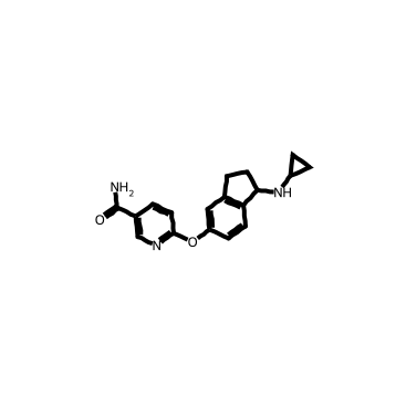 NC(=O)c1ccc(Oc2ccc3c(c2)CCC3NC2CC2)nc1